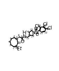 CC[C@@H]1CCCCC[C@@H](CC(=O)NCC2CCN(S(=O)(=O)c3ccc(Cl)c(Cl)c3Cl)C2)C1